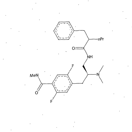 CCCC(Cc1ccccc1)C(=O)NC[C@H](Cc1cc(F)c(C(=O)NC)cc1F)N(C)C